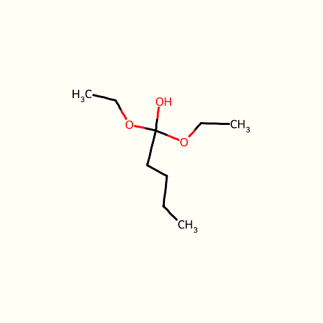 CCCCC(O)(OCC)OCC